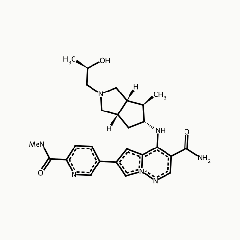 CNC(=O)c1ccc(-c2cc3c(N[C@@H]4C[C@@H]5CN(C[C@@H](C)O)C[C@@H]5[C@H]4C)c(C(N)=O)cnn3c2)cn1